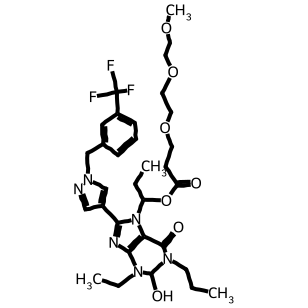 CCCN1C(=O)c2c(nc(-c3cnn(Cc4cccc(C(F)(F)F)c4)c3)n2C(CC)OC(=O)CCOCCOCCOC)N(CC)C1O